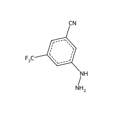 N#Cc1cc(NN)cc(C(F)(F)F)c1